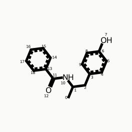 CC(Cc1ccc(O)cc1)NC(=O)c1ccccc1